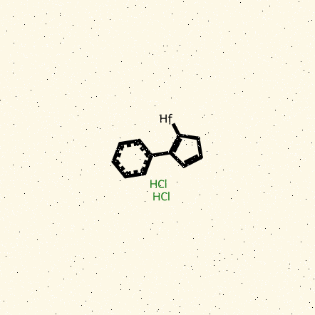 Cl.Cl.[Hf][C]1=C(c2ccccc2)C=CC1